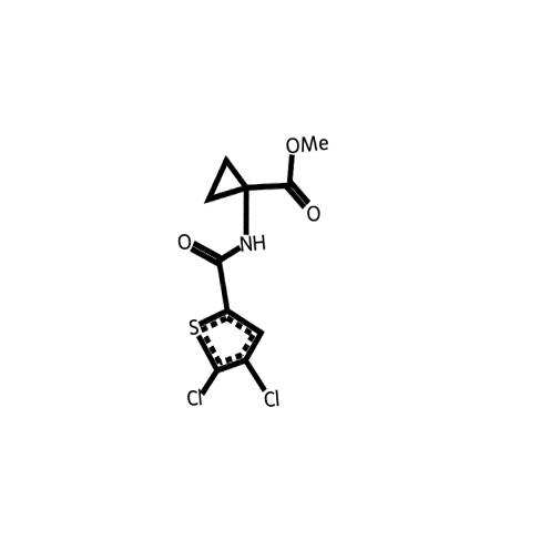 COC(=O)C1(NC(=O)c2cc(Cl)c(Cl)s2)CC1